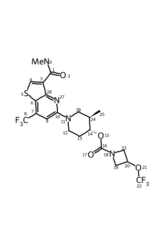 CNC(=O)c1csc2c(C(F)(F)F)cc(N3CC[C@@H](OC(=O)N4CC(OC(F)(F)F)C4)[C@H](C)C3)nc12